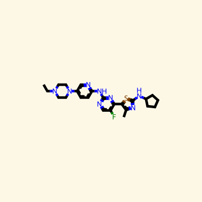 CCN1CCN(c2ccc(Nc3ncc(F)c(-c4sc(NC5CCCC5)nc4C)n3)nc2)CC1